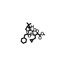 COC(=O)C(=O)C(CC1CC1)NC(=O)[C@@H]1[C@@H]2C(CN1C(=O)CC1CCCCC1)C2(C)C